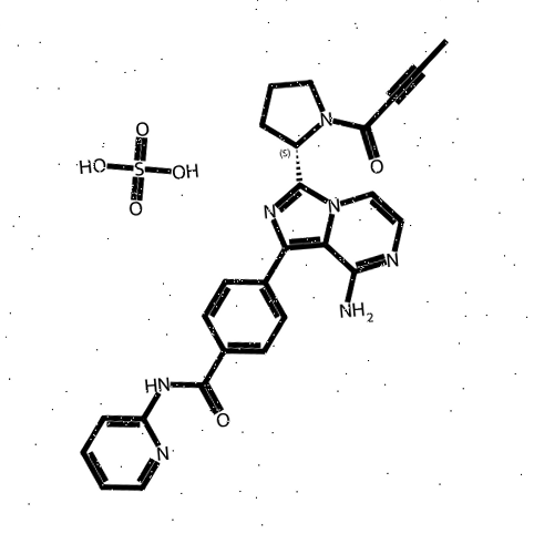 CC#CC(=O)N1CCC[C@H]1c1nc(-c2ccc(C(=O)Nc3ccccn3)cc2)c2c(N)nccn12.O=S(=O)(O)O